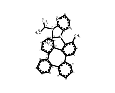 Cc1ccc2c(c1N1c3nccnc3N(C(C)C)[C@@H]1C)-c1ccccc1-c1ccccc1-c1ccccc1-2